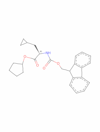 O=C(N[C@H](CC1CC1)C(=O)OC1CCCC1)OCC1c2ccccc2-c2ccccc21